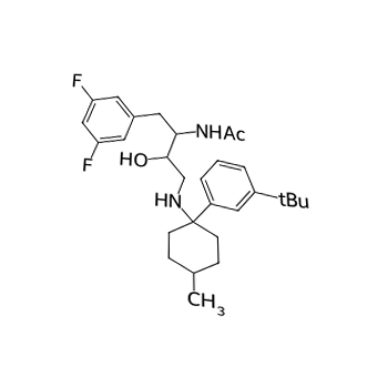 CC(=O)NC(Cc1cc(F)cc(F)c1)C(O)CNC1(c2cccc(C(C)(C)C)c2)CCC(C)CC1